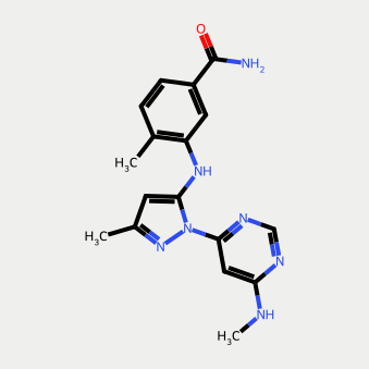 CNc1cc(-n2nc(C)cc2Nc2cc(C(N)=O)ccc2C)ncn1